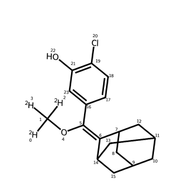 [2H]C([2H])([2H])OC(=C1C2CC3CC(C2)CC1C3)c1ccc(Cl)c(O)c1